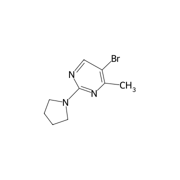 Cc1nc(N2CCCC2)ncc1Br